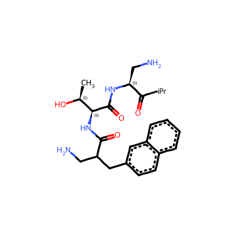 CC(C)C(=O)[C@H](CN)NC(=O)[C@@H](NC(=O)C(CN)Cc1ccc2ccccc2c1)[C@H](C)O